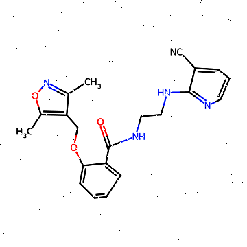 Cc1noc(C)c1COc1ccccc1C(=O)NCCNc1ncccc1C#N